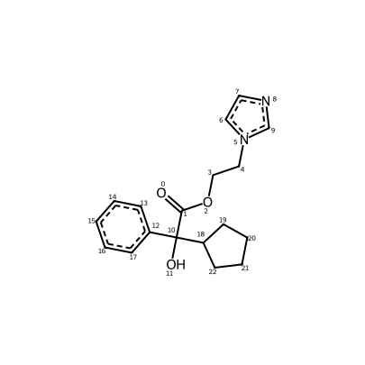 O=C(OCCn1ccnc1)C(O)(c1ccccc1)C1CCCC1